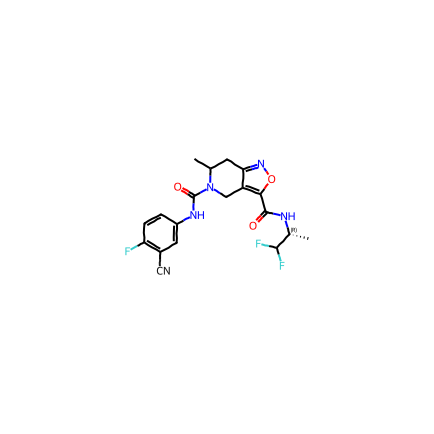 CC1Cc2noc(C(=O)N[C@H](C)C(F)F)c2CN1C(=O)Nc1ccc(F)c(C#N)c1